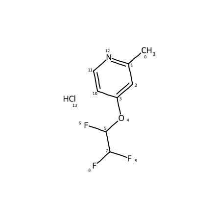 Cc1cc(OC(F)C(F)F)ccn1.Cl